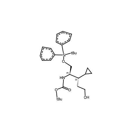 CC(C)(C)OC(=O)N[C@@H](CO[Si](c1ccccc1)(c1ccccc1)C(C)(C)C)[C@@H](CCO)C1CC1